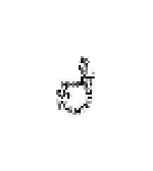 CC(=O)N1CCN(c2cc3c(n(C)c2=O)C2NN=C3N[C@H](C)c3cccc(c3F)C(F)(F)CCCN(C)CCCCCO2)CC1